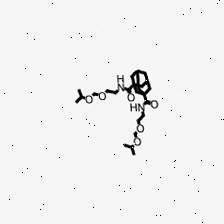 CC(C)OCOCCNC(=O)C12CC3CC(C1)CC(C(=O)NCCOCOC(C)C)(C3)C2